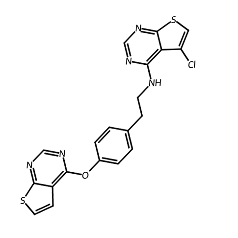 Clc1csc2ncnc(NCCc3ccc(Oc4ncnc5sccc45)cc3)c12